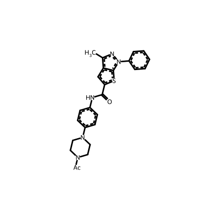 CC(=O)N1CCN(c2ccc(NC(=O)c3cc4c(C)nn(-c5ccccc5)c4s3)cc2)CC1